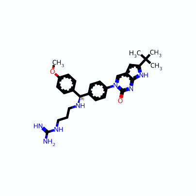 COc1ccc([C@H](NCCCNC(=N)N)c2ccc(-n3cc4cc(C(C)(C)C)[nH]c4nc3=O)cc2)cc1